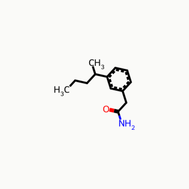 CCCC(C)c1cccc(CC(N)=O)c1